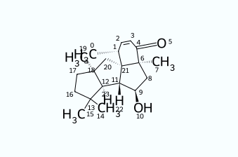 C[C@@H]1C=CC(=O)[C@@]2(C)C[C@@H](O)[C@@H]3[C@H]4C(C)(C)CC[C@@]4(C)C[C@]312